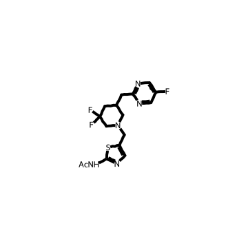 CC(=O)Nc1ncc(CN2CC(Cc3ncc(F)cn3)CC(F)(F)C2)s1